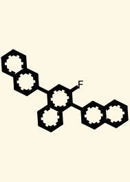 Fc1cc(-c2ccc3ccccc3c2)c2ccccc2c1-c1ccc2ccccc2c1